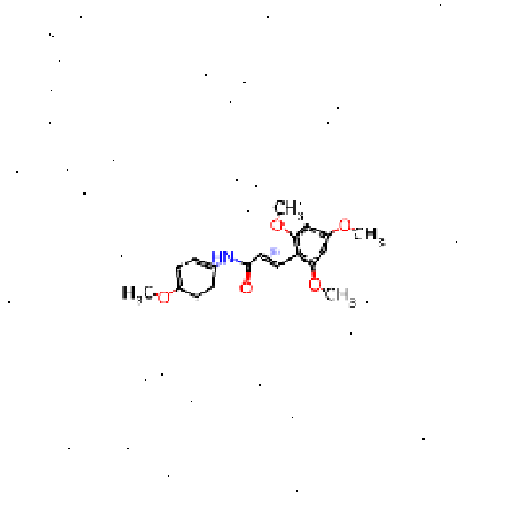 COC1=CC=C(NC(=O)/C=C/c2c(OC)cc(OC)cc2OC)C[CH]1